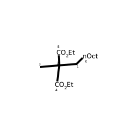 CCCCCCCCCC(C)(C(=O)OCC)C(=O)OCC